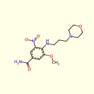 COc1cc(C(N)=O)cc([N+](=O)[O-])c1NCCCN1CCOCC1